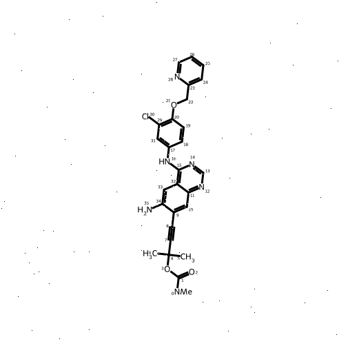 CNC(=O)OC(C)(C)C#Cc1cc2ncnc(Nc3ccc(OCc4ccccn4)c(Cl)c3)c2cc1N